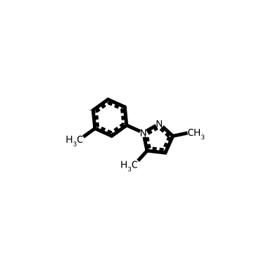 Cc1[c]ccc(-n2nc(C)cc2C)c1